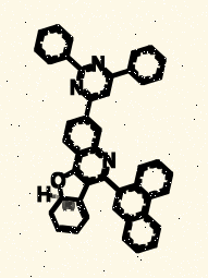 C1=CC[C@H]2Oc3c(c(-c4cc5ccccc5c5ccccc45)nc4cc(-c5cc(-c6ccccc6)nc(-c6ccccc6)n5)ccc34)C2=C1